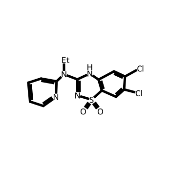 CCN(C1=NS(=O)(=O)c2cc(Cl)c(Cl)cc2N1)c1ccccn1